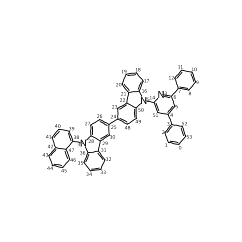 c1ccc(-c2cc(-c3ccccc3)nc(-n3c4ccccc4c4cc(-c5ccc6c(c5)c5ccccc5n6-c5cccc6ccccc56)ccc43)c2)cc1